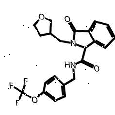 O=C(NCc1ccc(OC(F)(F)F)cc1)C1c2ccccc2C(=O)N1CC1CCOC1